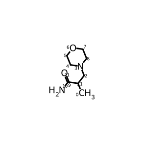 C[C](CN1CCOCC1)C(N)=O